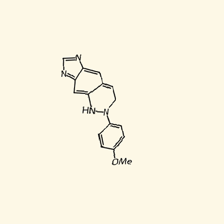 COc1ccc(N2CC=c3cc4c(cc3N2)=NC=N4)cc1